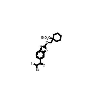 CCOC(=O)C1(COc2nc3ccc(C(=O)C(CC)CC)cc3s2)CCCCC1